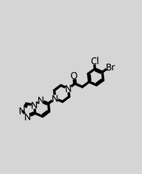 O=C(Cc1ccc(Br)c(Cl)c1)N1CCN(c2ccc3nncn3n2)CC1